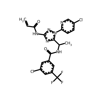 C=CC(=O)Nc1nc(C(C)NC(=O)c2cc(Cl)cc(C(F)(F)F)c2)n(-c2ccc(Cl)cn2)n1